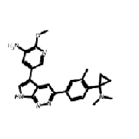 COc1ncc(-c2c[nH]c3nnc(-c4ccc(C5(N(C)C)CC5)c(C)c4)cc23)cc1N